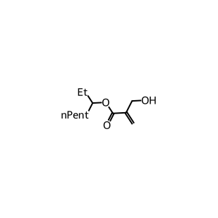 C=C(CO)C(=O)OC(CC)CCCCC